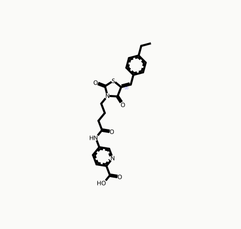 CCc1ccc(/C=C2\SC(=O)N(CCCC(=O)Nc3ccc(C(=O)O)nc3)C2=O)cc1